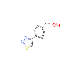 OCc1ccc(-c2csnn2)cc1